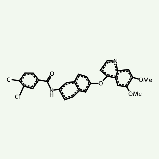 COc1cc2nccc(Oc3ccc4cc(NC(=O)c5ccc(Cl)c(Cl)c5)ccc4c3)c2cc1OC